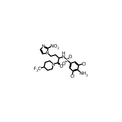 Nc1c(Cl)cc(S(=O)(=O)NC(CCn2ccnc2[N+](=O)[O-])C(=O)N2CCC(C(F)(F)F)CC2)cc1Cl